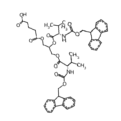 CC(C)[C@H](NC(=O)OCC1c2ccccc2-c2ccccc21)C(=O)OCC(COC(=O)CCCC(=O)O)OC(=O)[C@@H](NC(=O)OCC1c2ccccc2-c2ccccc21)C(C)C